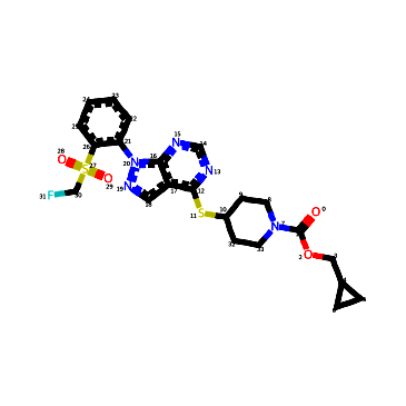 O=C(OCC1CC1)N1CCC(Sc2ncnc3c2cnn3-c2ccccc2S(=O)(=O)CF)CC1